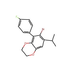 CC(C)c1cc2c(c(-c3ccc(F)cc3)c1Br)OCCO2